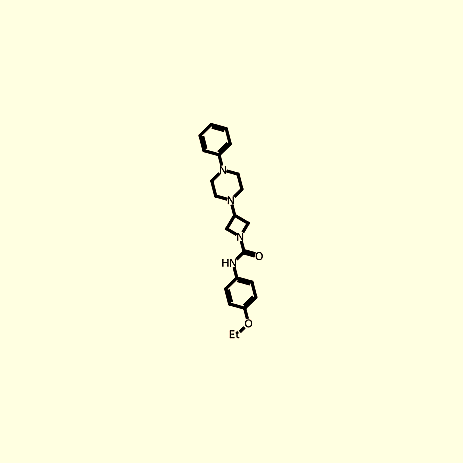 CCOc1ccc(NC(=O)N2CC(N3CCN(c4ccccc4)CC3)C2)cc1